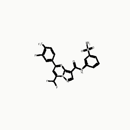 NS(=O)(=O)c1cccc(NC(=O)c2cnn3c(C(F)F)cc(-c4ccc(C(F)(F)F)c(F)c4)nc23)c1